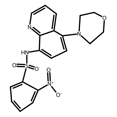 O=[N+]([O-])c1ccccc1S(=O)(=O)Nc1ccc(N2CCOCC2)c2cccnc12